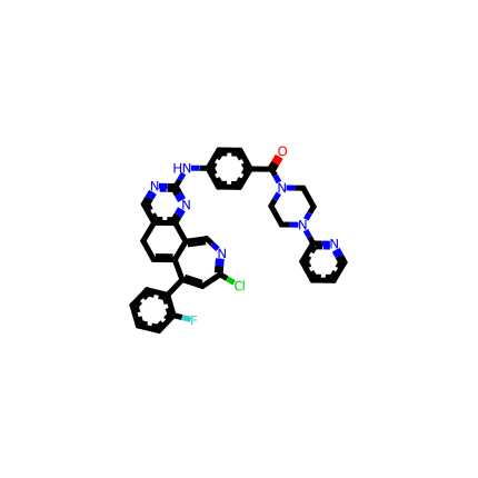 O=C(c1ccc(Nc2ncc3c(n2)C2=CN=C(Cl)C=C(c4ccccc4F)C2=CC3)cc1)N1CCN(c2ccccn2)CC1